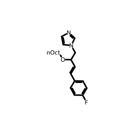 CCCCCCCCOC(/C=C/c1ccc(F)cc1)Cn1ccnc1